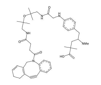 C=C(O)C(C)(C)CC(Cc1ccc(NCC(=O)NCC(C)(C)OC(C)(C)CNC(=O)CCC(=O)N2CC3=C(C#Cc4ccccc42)CCC=C3)cc1)NC